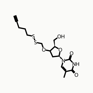 C#CCCCSSCOC1C[C@H](n2cc(C)c(=O)[nH]c2=O)O[C@@H]1CO